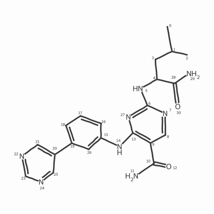 CC(C)CC(Nc1ncc(C(N)=O)c(Nc2cccc(-c3cncnc3)c2)n1)C(N)=O